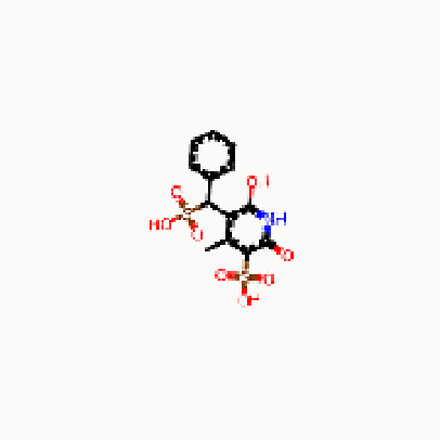 Cc1c(C(c2ccccc2)S(=O)(=O)O)c(O)[nH]c(=O)c1S(=O)(=O)O